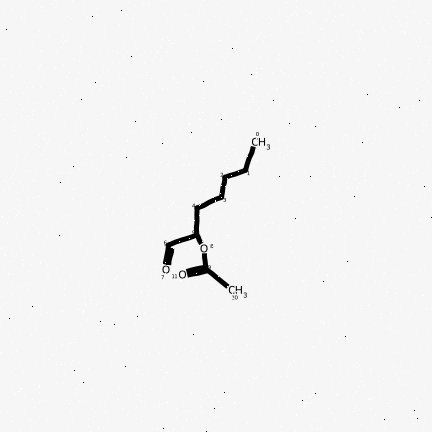 CCCCCC([C]=O)OC(C)=O